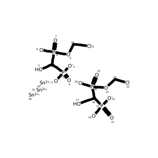 O=P([O-])([O-])C(O)P(=O)([O-])OCCl.O=P([O-])([O-])C(O)P(=O)([O-])OCCl.[Sn+2].[Sn+2].[Sn+2]